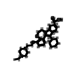 CCN1CCN(CCOc2cccc3c2OCCn2c-3c(C3CCCCC3)c3ccc(C(=O)O)cc32)CC1